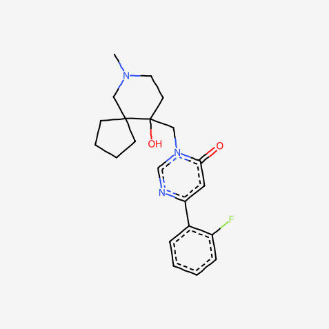 CN1CCC(O)(Cn2cnc(-c3ccccc3F)cc2=O)C2(CCCC2)C1